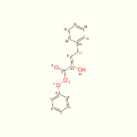 O=C(OOc1ccccc1)C(O)=CCc1ccccc1